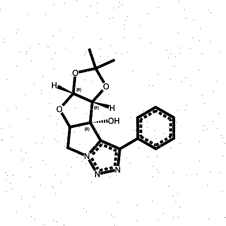 CC1(C)O[C@H]2OC3Cn4nnc(-c5ccccc5)c4[C@]3(O)[C@H]2O1